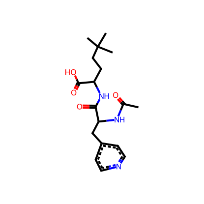 CC(=O)NC(Cc1ccncc1)C(=O)NC(CCC(C)(C)C)C(=O)O